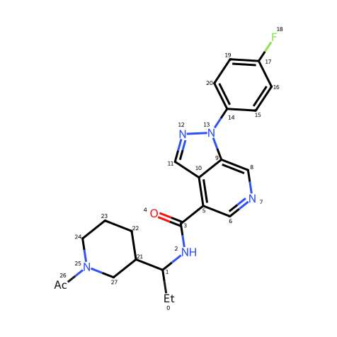 CCC(NC(=O)c1cncc2c1cnn2-c1ccc(F)cc1)C1CCCN(C(C)=O)C1